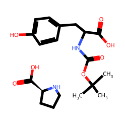 CC(C)(C)OC(=O)NC(Cc1ccc(O)cc1)C(=O)O.O=C(O)[C@@H]1CCCN1